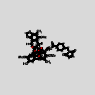 COc1cc2c(cc1O)CCN(C(=O)OCOC(=O)C1CCC(CN3C(=O)C=CC3=O)CC1)[C@]21CS[C@@H]2c3c(OC(C)=O)c(C)c4c(c3[C@H](COC1=O)N1CC3Cc5cc(C)c(OC)c(O)c5[C@H]([C@H]21)N3C)OCO4